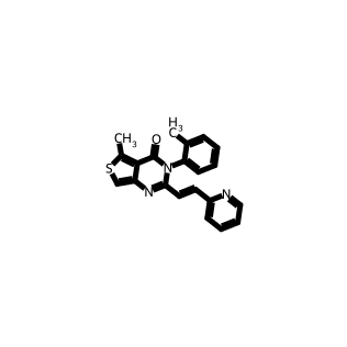 Cc1ccccc1-n1c(/C=C/c2ccccn2)nc2csc(C)c2c1=O